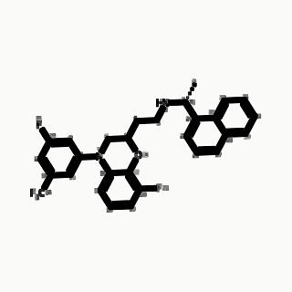 C[C@@H](NCCC1CN(c2cc(F)cc(C(F)(F)F)c2)c2cccc(F)c2O1)c1cccc2ccccc12